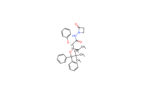 CC[C@@H](O[Si](c1ccccc1)(c1ccccc1)C(C)(C)C)[C@H](Oc1ccccc1)C(=O)NN1CCC1=O